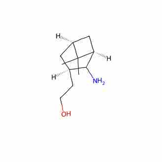 CC1(C)[C@H]2C[C@H](CCO)C(N)[C@@H]1C2